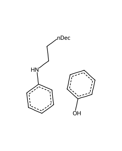 CCCCCCCCCCCCNc1ccccc1.Oc1ccccc1